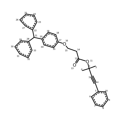 CC(C)(C#Cc1ccccc1)OC(=O)CCOc1ccc(C(c2ccccc2)c2ccccc2)cc1